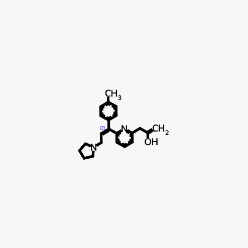 C=C(O)Cc1cccc(/C(=C\CN2CCCC2)c2ccc(C)cc2)n1